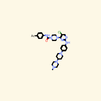 CC(=O)c1ccc(NC(=O)N2CCN(c3nc(Nc4ccc(N5CCC(N6CCN(C)CC6)CC5)cc4)ncc3Cl)CC2)cc1